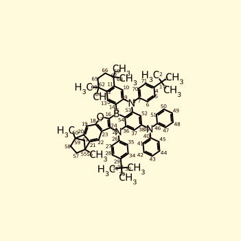 CC(C)(C)c1ccc(N2c3cc4c(cc3B3c5oc6cc7c(cc6c5N(c5ccc(C(C)(C)C)cc5)c5cc(N(c6ccccc6)c6ccccc6)cc2c53)C2(C)CCC7(C)C2)C(C)(C)CCC4(C)C)cc1